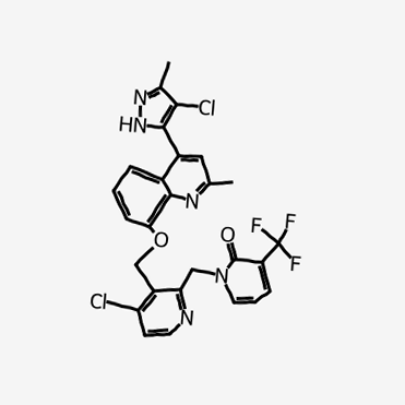 Cc1cc(-c2[nH]nc(C)c2Cl)c2cccc(OCc3c(Cl)ccnc3Cn3cccc(C(F)(F)F)c3=O)c2n1